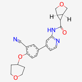 N#Cc1cc(-c2ccnc(NC(=O)C3[C@H]4COC[C@@H]34)c2)ccc1OC1CCOCC1